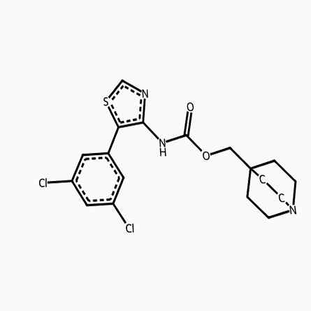 O=C(Nc1ncsc1-c1cc(Cl)cc(Cl)c1)OCC12CCN(CC1)CC2